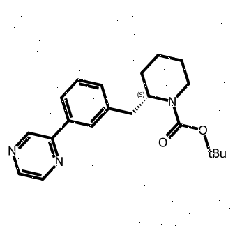 CC(C)(C)OC(=O)N1CCCC[C@H]1Cc1cccc(-c2cnccn2)c1